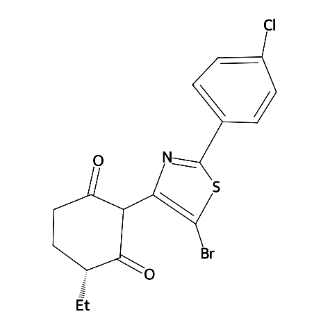 CC[C@@H]1CCC(=O)C(c2nc(-c3ccc(Cl)cc3)sc2Br)C1=O